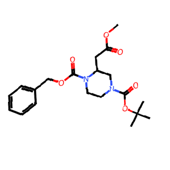 COC(=O)CC1CN(C(=O)OC(C)(C)C)CCN1C(=O)OCc1ccccc1